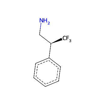 NC[C@H](c1ccccc1)C(F)(F)F